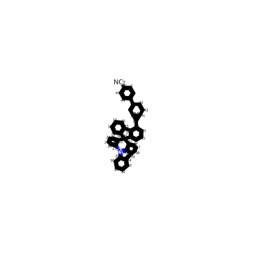 N#Cc1ccc(C2=CC3=C(c4cccc5c4-c4ccccc4C54c5ccccc5-n5c6ccccc6c6cccc4c65)[C@H]3C=C2)cc1